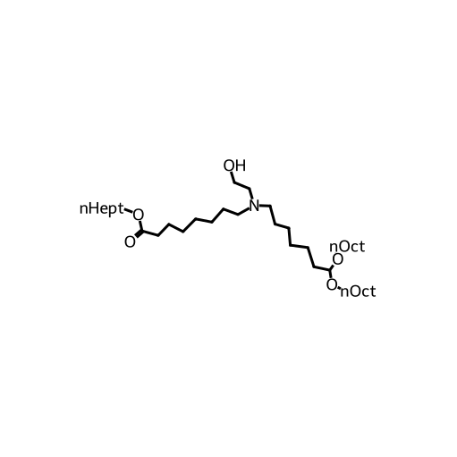 CCCCCCCCOC(CCCCCCN(CCO)CCCCCCCC(=O)OCCCCCCC)OCCCCCCCC